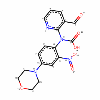 O=Cc1cccnc1N(C(=O)O)c1ccc(N2CCOCC2)cc1[N+](=O)[O-]